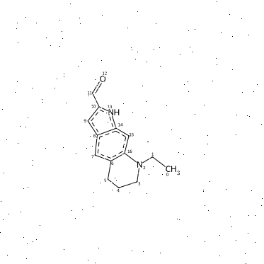 CCN1CCCc2cc3cc(C=O)[nH]c3cc21